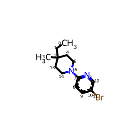 CCC1(C)CCN(c2ccc(Br)cn2)CC1